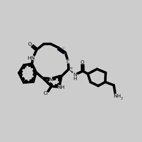 NCC1CCC(C(=O)N[C@H]2C/C=C/CCC(=O)Nc3ccccc3-c3nc2[nH]c3Cl)CC1